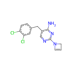 Nc1nc(N2C=CC2)ncc1Cc1ccc(Cl)c(Cl)c1